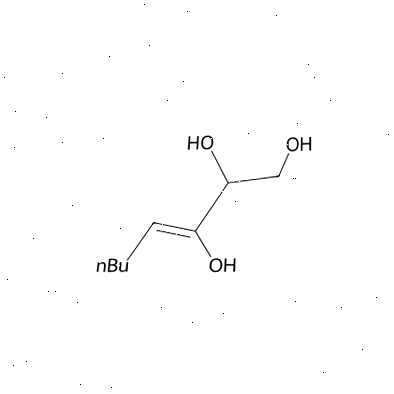 CCCCC=C(O)C(O)CO